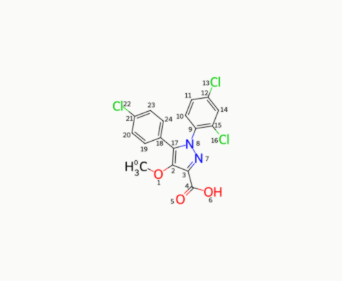 COc1c(C(=O)O)nn(-c2ccc(Cl)cc2Cl)c1-c1ccc(Cl)cc1